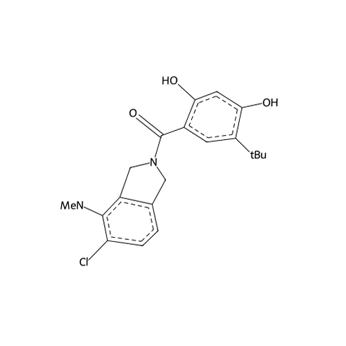 CNc1c(Cl)ccc2c1CN(C(=O)c1cc(C(C)(C)C)c(O)cc1O)C2